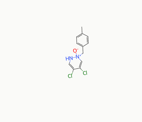 Cc1ccc(C[N+]2([O-])C=C(Cl)C(Cl)=CN2)cc1